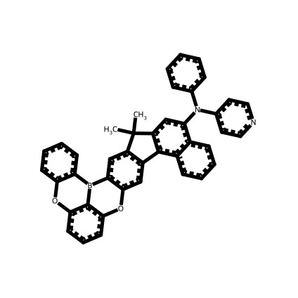 CC1(C)c2cc3c(cc2-c2c1cc(N(c1ccccc1)c1ccncc1)c1ccccc21)Oc1cccc2c1B3c1ccccc1O2